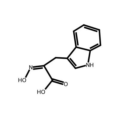 O=C(O)/C(Cc1c[nH]c2ccccc12)=N\O